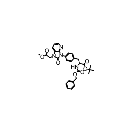 COC(=O)Cn1c(=O)n(-c2ccc(C[C@H](NC(=O)OCc3ccccc3)C(=O)OC(C)(C)C)cc2)c2ncccc21